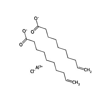 C=CCCCCCCCC(=O)[O-].C=CCCCCCCCC(=O)[O-].[Al+3].[Cl-]